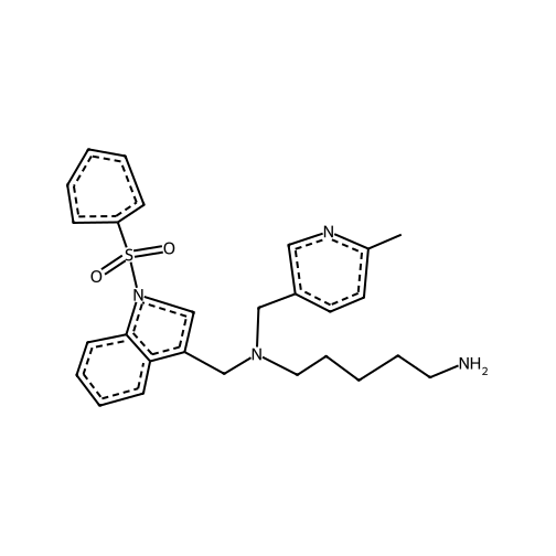 Cc1ccc(CN(CCCCCN)Cc2cn(S(=O)(=O)c3ccccc3)c3ccccc23)cn1